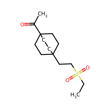 CCS(=O)(=O)CCC12CCC(C(C)=O)(CC1)CC2